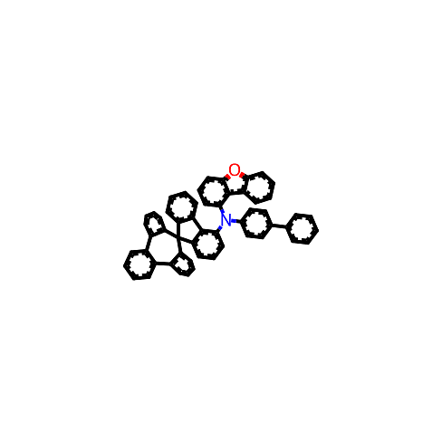 c1ccc(-c2ccc(N(c3cccc4c3-c3ccccc3C43c4ccccc4-c4ccccc4-c4ccccc43)c3cccc4oc5ccccc5c34)cc2)cc1